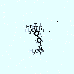 C[C@@H]1CCCN1CCc1ccc(-c2ccc(C(C)(C)C(O)O)cc2)cc1